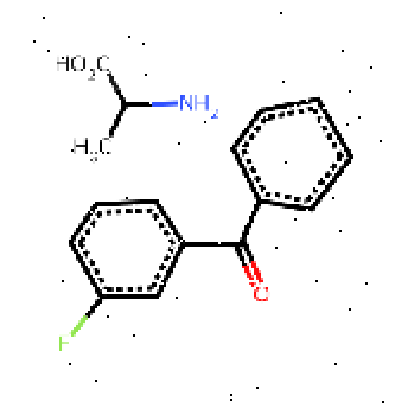 CC(N)C(=O)O.O=C(c1ccccc1)c1cccc(F)c1